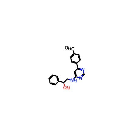 O=Cc1ccc(-c2cc(NC[C@@H](O)c3ccccc3)ncn2)cc1